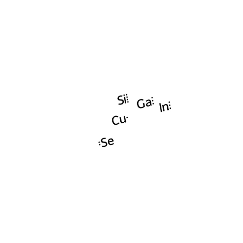 [Cu].[Ga].[In].[Se].[Si]